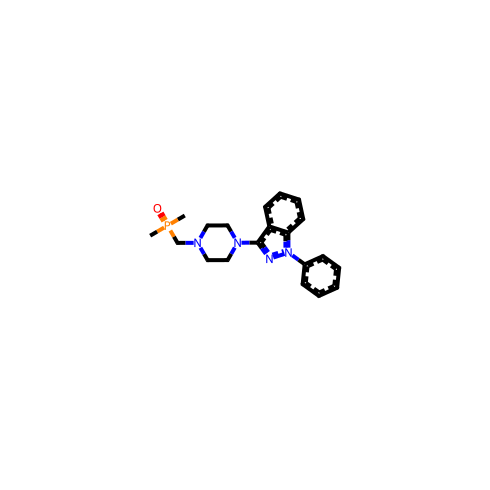 CP(C)(=O)CN1CCN(c2nn(-c3ccccc3)c3ccccc23)CC1